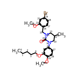 CCCCCOc1cc(N2CC(C)CN(Cc3ccc(Br)cc3OC)C2=O)ccc1OC